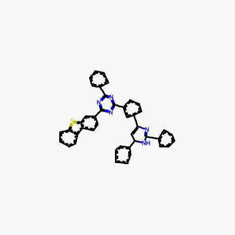 C1=C(c2cccc(-c3nc(-c4ccccc4)nc(-c4ccc5c(c4)sc4ccccc45)n3)c2)N=C(c2ccccc2)NC1c1ccccc1